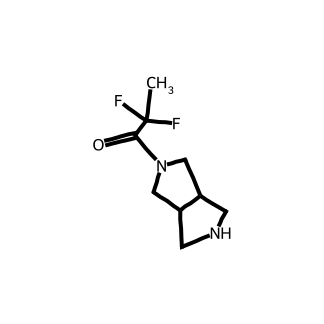 CC(F)(F)C(=O)N1CC2CNCC2C1